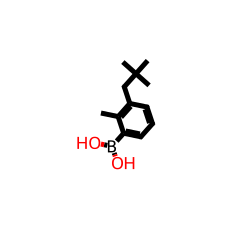 Cc1c(CC(C)(C)C)cccc1B(O)O